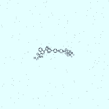 CNC(=O)c1ccc(-c2cnn3cc(-c4ccc(N5CCN(C(=O)OC(C)(C)C)CC5)cc4)cnc23)c2ccccc12